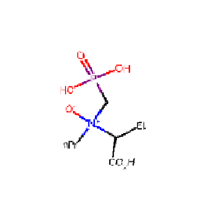 CCC[N+]([O-])(CP(=O)(O)O)C(CC)C(=O)O